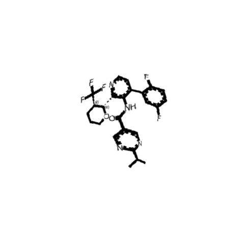 CC(C)c1ncc(C(=O)Nc2c(-c3cc(F)ccc3F)ccnc2[C@@H]2OCCC[C@H]2C(F)(F)F)cn1